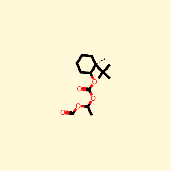 CC(OC=O)OC(=O)OC1CCCC[C@@]1(C)C(C)(C)C